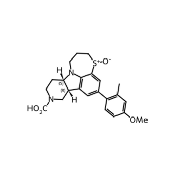 COc1ccc(-c2cc3c4c(c2)[S+]([O-])CCCN4[C@H]2CCN(C(=O)O)C[C@@H]32)c(C)c1